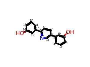 Oc1cccc(-c2ccc(-c3cccc(O)c3)nc2)c1